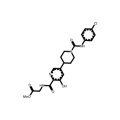 COC(=O)CNC(=O)c1ncc(C2CCN(C(=O)Nc3ccc(Cl)cc3)CC2)cc1O